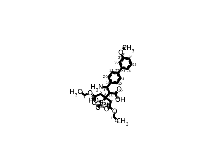 CCOC(=O)CC(CC(=O)OCC)(C(C(=O)O)C(N)c1ccc(-c2cccc(OC)c2)cc1)P(=O)(O)O